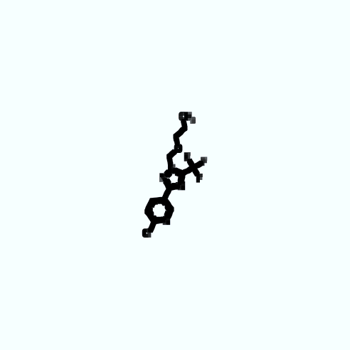 CCCOCn1nc(-c2ccc(Cl)nc2)nc1C(F)(F)F